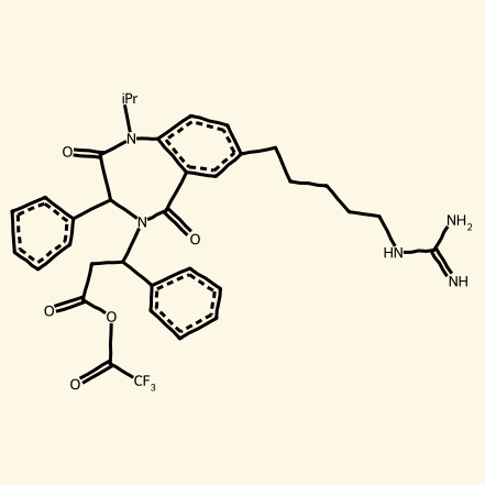 CC(C)N1C(=O)C(c2ccccc2)N(C(CC(=O)OC(=O)C(F)(F)F)c2ccccc2)C(=O)c2cc(CCCCCNC(=N)N)ccc21